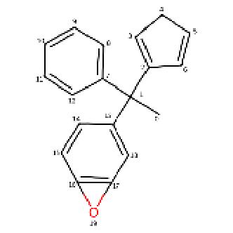 CC(C1=CCC=C1)(c1ccccc1)c1ccc2c(c1)O2